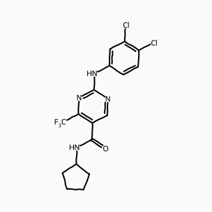 O=C(NC1CCCC1)c1cnc(Nc2ccc(Cl)c(Cl)c2)nc1C(F)(F)F